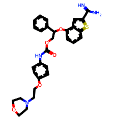 N=C(N)c1cc2c(OC(COC(=O)Nc3ccc(OCCN4CCOCC4)cc3)c3ccccc3)cccc2s1